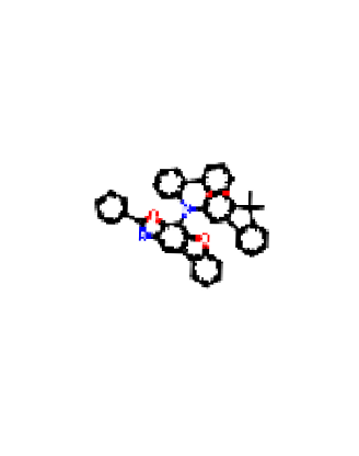 CC1(C)c2ccccc2-c2cc(N(c3ccccc3-c3ccccc3)c3c4oc(-c5ccccc5)nc4cc4c3oc3ccccc34)ccc21